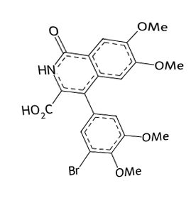 COc1cc2c(-c3cc(Br)c(OC)c(OC)c3)c(C(=O)O)[nH]c(=O)c2cc1OC